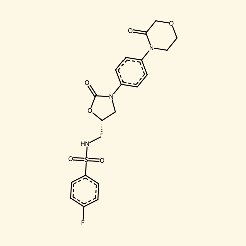 O=C1COCCN1c1ccc(N2C[C@H](CNS(=O)(=O)c3ccc(F)cc3)OC2=O)cc1